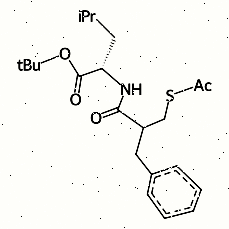 CC(=O)SCC(Cc1ccccc1)C(=O)N[C@@H](CC(C)C)C(=O)OC(C)(C)C